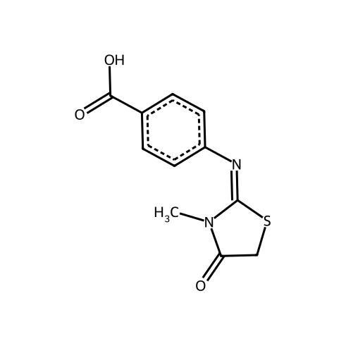 CN1C(=O)CSC1=Nc1ccc(C(=O)O)cc1